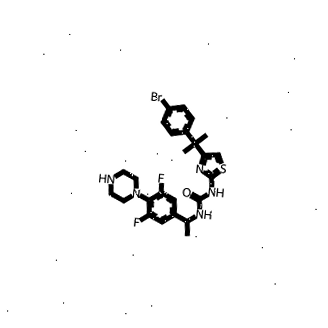 CC(NC(=O)Nc1nc(C(C)(C)c2ccc(Br)cc2)cs1)c1cc(F)c(N2CCNCC2)c(F)c1